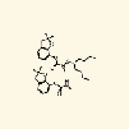 CCCCN(CCCC)SN(C)C(=O)Oc1cccc2c1OC(C)(C)C2.CNC(=O)Oc1cccc2c1OC(C)(C)C2